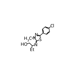 CCC(CO)N=c1sc(-c2ccc(Cl)cc2)nn1C